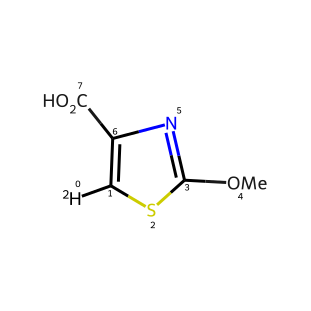 [2H]c1sc(OC)nc1C(=O)O